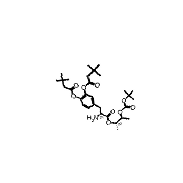 CC(OC(=O)OC(C)(C)C)[C@H](C)OC(=O)[C@@H](N)Cc1ccc(OC(=O)CC(C)(C)C)c(OC(=O)CC(C)(C)C)c1